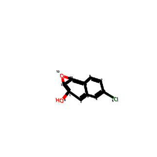 Oc1cc2cc(Cl)ccc2c2c1O2